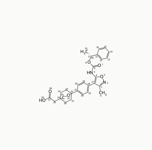 Cc1noc(NC(=O)O[C@H](C)c2ccccc2)c1-c1ccc(C23CCC(CC(=O)O)(CC2)CO3)cc1